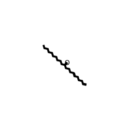 C=CCCCC=CCCCC(=O)CCCCCCCCCC